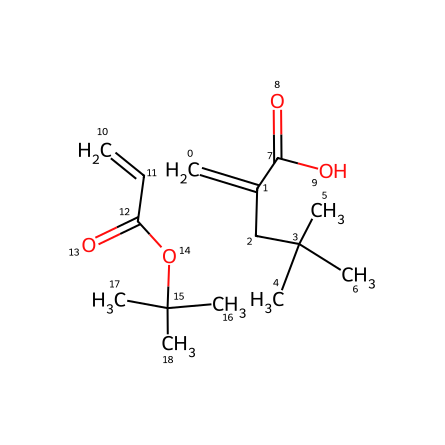 C=C(CC(C)(C)C)C(=O)O.C=CC(=O)OC(C)(C)C